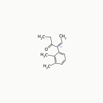 C/C=C(\C(=O)CC)c1cccc(C)c1C